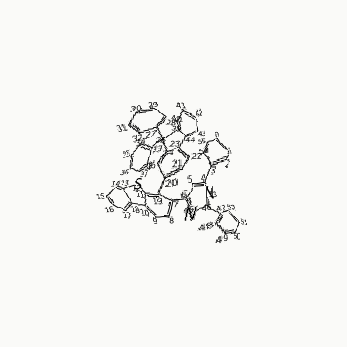 c1ccc(-c2cc(-c3ccc4c(sc5ccccc54)c3-c3ccc4c(c3)C(c3ccccc3)(c3ccccc3)c3ccccc3-4)nc(-c3ccccc3)n2)cc1